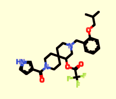 CC(C)COc1ccccc1CN1CCC2(CCN(C(=O)c3cc[nH]c3)CC2)C(OC(=O)C(F)(F)F)C1